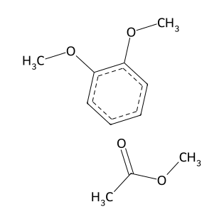 COC(C)=O.COc1ccccc1OC